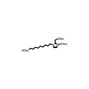 CCCCCCCCCCCCCCCCCCC[n+]1ccn(CCCCCC)c1CCCCCCCCCCC